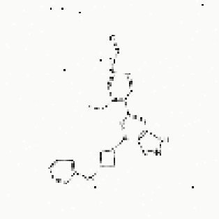 CCc1cc(OC=O)ccc1-c1cc2[nH]ncc2c(N2CC(Oc3ccccc3)C2)n1